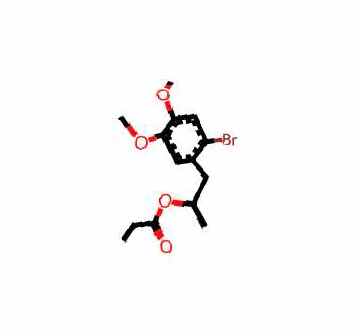 CCC(=O)OC(C)Cc1cc(OC)c(OC)cc1Br